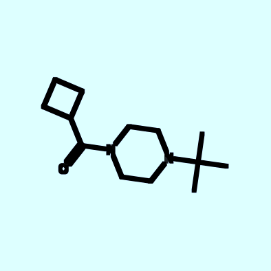 CC(C)(C)N1CCN(C(=O)C2CCC2)CC1